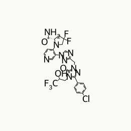 NC(=O)[C@@H]1CC(F)(F)CN1c1ccncc1-n1cnc(Cn2nc(-c3ccc(Cl)cc3)n(CC(O)C(F)(F)F)c2=O)n1